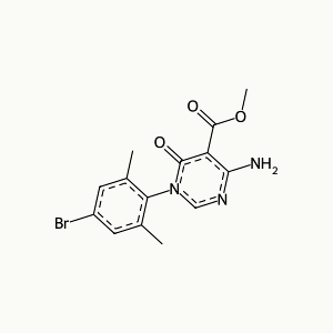 COC(=O)c1c(N)ncn(-c2c(C)cc(Br)cc2C)c1=O